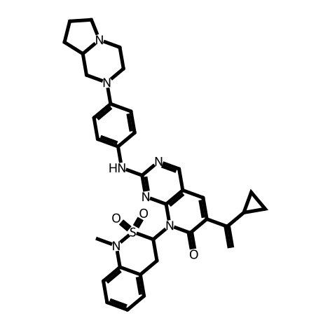 C=C(c1cc2cnc(Nc3ccc(N4CCN5CCCC5C4)cc3)nc2n(C2Cc3ccccc3N(C)S2(=O)=O)c1=O)C1CC1